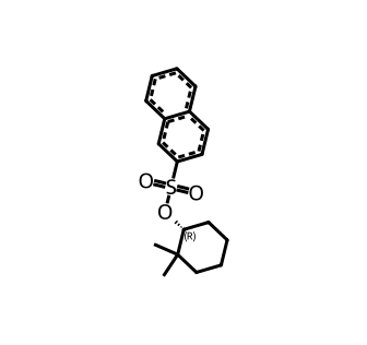 CC1(C)CCCC[C@H]1OS(=O)(=O)c1ccc2ccccc2c1